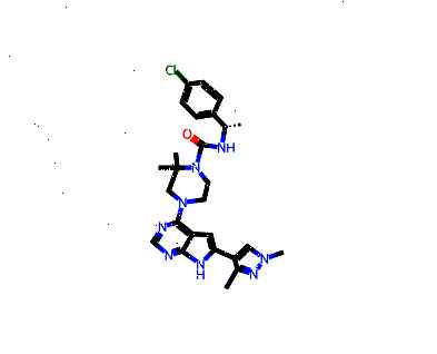 Cc1nn(C)cc1-c1cc2c(N3CCN(C(=O)N[C@@H](C)c4ccc(Cl)cc4)C(C)(C)C3)ncnc2[nH]1